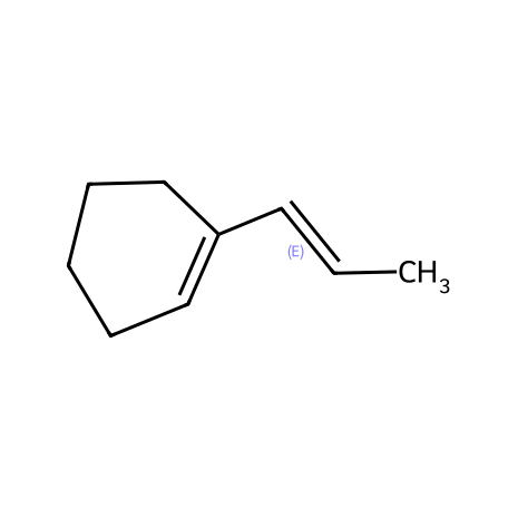 C/C=C/C1=CCCCC1